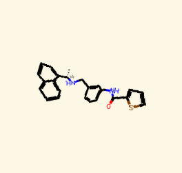 C[C@H](NCc1cccc(NC(=O)c2cccs2)c1)c1cccc2ccccc12